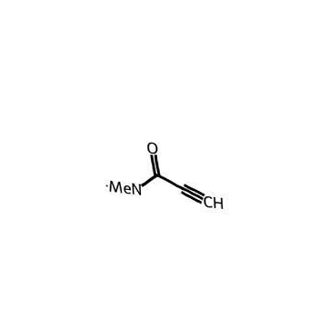 C#CC(=O)[N]C